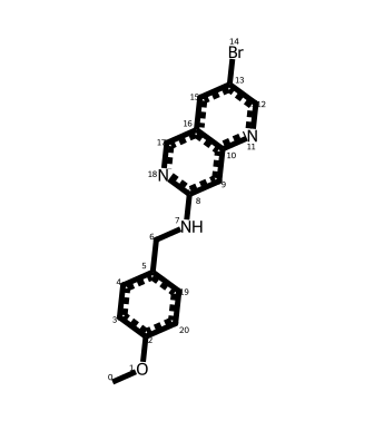 COc1ccc(CNc2cc3ncc(Br)cc3cn2)cc1